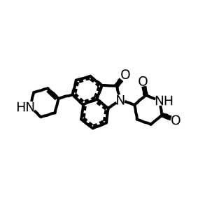 O=C1CCC(N2C(=O)c3ccc(C4=CCNCC4)c4cccc2c34)C(=O)N1